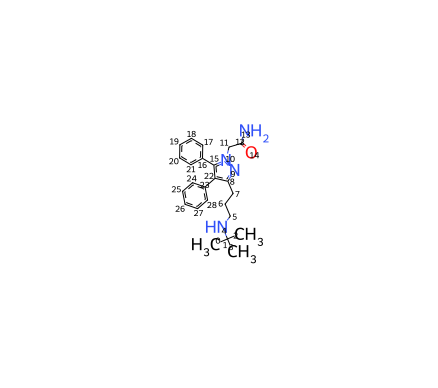 CC(C)(C)NCCCc1nn(CC(N)=O)c(-c2ccccc2)c1-c1ccccc1